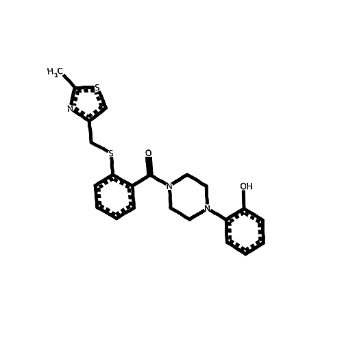 Cc1nc(CSc2ccccc2C(=O)N2CCN(c3ccccc3O)CC2)cs1